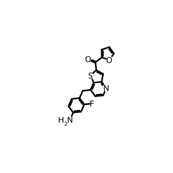 Nc1ccc(Cc2ccnc3cc(C(=O)c4ccco4)sc23)c(F)c1